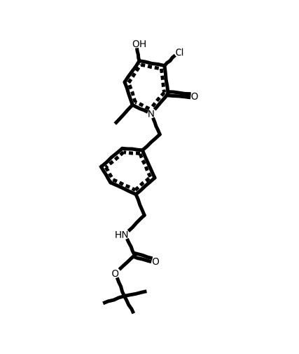 Cc1cc(O)c(Cl)c(=O)n1Cc1cccc(CNC(=O)OC(C)(C)C)c1